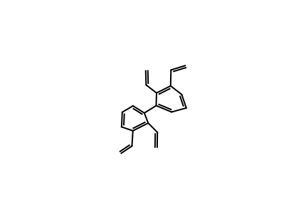 C=Cc1cccc(-c2cccc(C=C)c2C=C)c1C=C